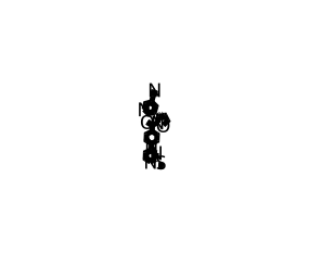 CSc1nccc(N2CCC(C(=O)N3OCC[C@H]3c3cncc(C#N)c3)CC2)n1